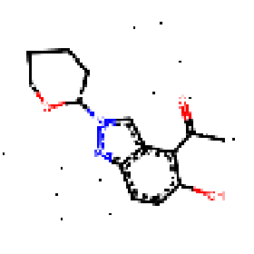 CC(=O)c1c(O)ccc2nn(C3CCCCO3)cc12